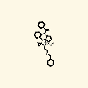 O=C(c1ccccc1)N1c2ccccc2[C@H](C2(N(CCOCc3ccccc3)C(=O)O)CC2)[C@H]2CCC[C@H]21